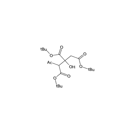 CC(=O)C(C(=O)OC(C)(C)C)C(O)(CC(=O)OC(C)(C)C)C(=O)OC(C)(C)C